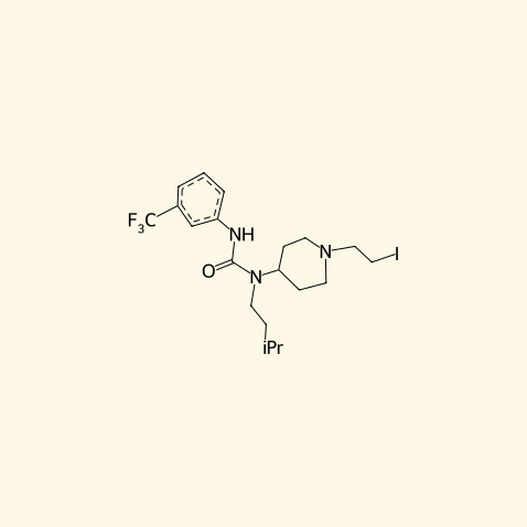 CC(C)CCN(C(=O)Nc1cccc(C(F)(F)F)c1)C1CCN(CCI)CC1